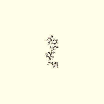 C[C@H](Cn1cnc2c(NCCNC(=O)c3cccc(N4C(=O)C=CC4=O)c3)ncnc21)OCP(=O)(O)O